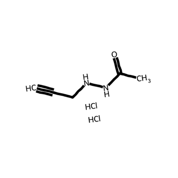 C#CCNNC(C)=O.Cl.Cl